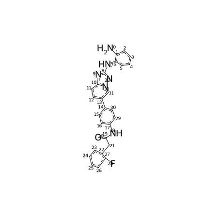 Nc1ccccc1Nc1nc2ccc(-c3ccc(NC(=O)Cc4ccccc4F)cc3)cn2n1